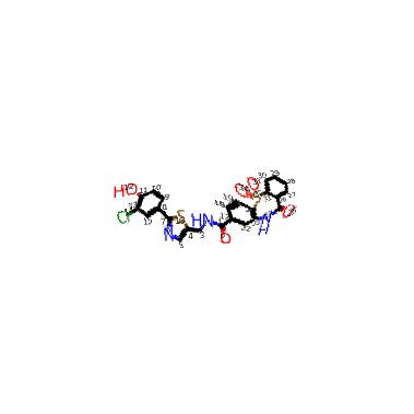 O=C(NCc1cnc(-c2ccc(O)c(Cl)c2)s1)c1ccc2c(c1)NC(=O)c1ccccc1S2(=O)=O